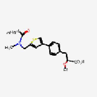 CCCCCCCC(=O)N(C)Cc1cc(-c2ccc(C[C@H](OCC)C(=O)O)cc2)cs1